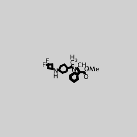 COC(=O)c1c(C)n([C@H](C)C2CCC(NC3CC(F)(F)C3)CC2)c2ccccc12